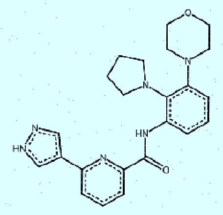 O=C(Nc1cccc(N2CCOCC2)c1N1CCCC1)c1cccc(-c2cn[nH]c2)n1